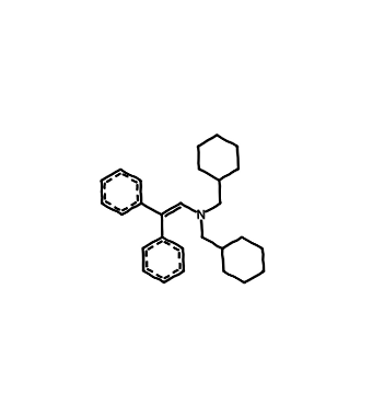 C(=C(c1ccccc1)c1ccccc1)N(CC1CCCCC1)CC1CCCCC1